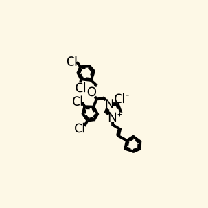 Clc1ccc(COC(Cn2cc[n+](C/C=C/c3ccccc3)c2)c2ccc(Cl)cc2Cl)c(Cl)c1.[Cl-]